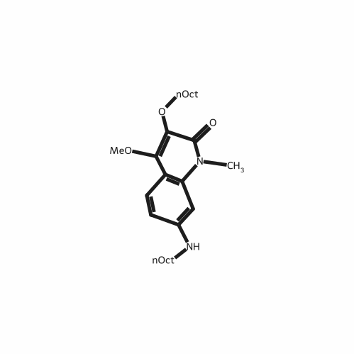 CCCCCCCCNc1ccc2c(OC)c(OCCCCCCCC)c(=O)n(C)c2c1